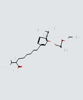 C=C(COc1cc(CCCCCCC(C(=O)O)C(C)C)ccc1C(C)(C)C)C(=O)OCC